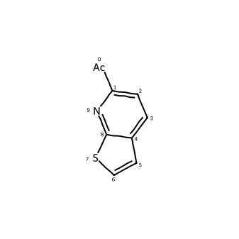 CC(=O)c1ccc2ccsc2n1